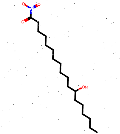 CCCCCCC(O)CCCCCCCCCCC(=O)[N+](=O)[O-]